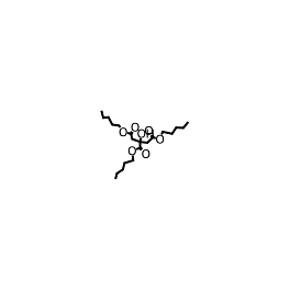 CCCCCOC(=O)CC(O)(CC(=O)OCCCCC)C(=O)OCCCCC